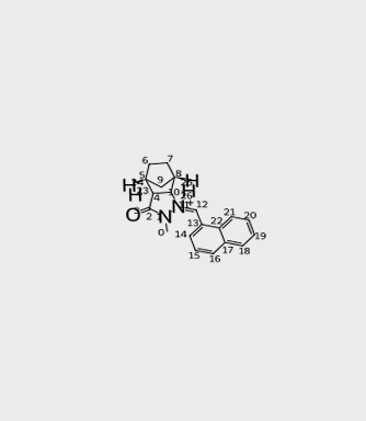 CN1C(=O)[C@H]2[C@@H]3CC[C@@H](C3)[C@H]2/[N+]1=C/c1cccc2ccccc12